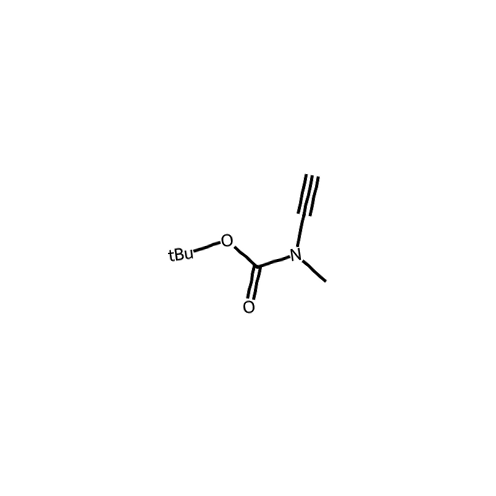 C#CN(C)C(=O)OC(C)(C)C